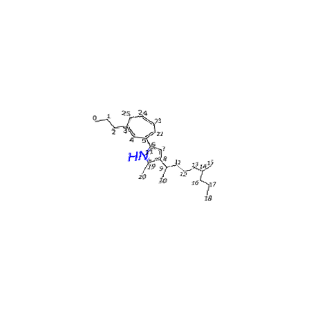 CCCC1=CC(c2cc(C(C)CCCC(C)CCC)c(C)[nH]2)=CC=CC1